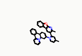 Cc1cc[n+](C2=CCC3c4ccccc4-c4cccc[n+]4C3C2)c(-c2cc3c(nc2C)oc2ccccc23)c1